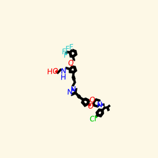 CC(C)[C@H](CN1CCC2(CC1)Oc1ccc(C#Cc3cnn(CCC#Cc4ccc(OCc5ccc(F)c(C(F)(F)F)c5)c(CNCCO)c4)c3)cc1O2)c1ccc(Cl)cc1